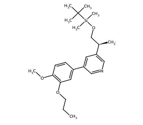 [CH2][C@H](CO[Si](C)(C)C(C)(C)C)c1cncc(-c2ccc(OC)c(OCCC)c2)c1